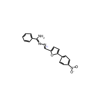 NC(=N/N=C/c1ccc(-c2ccc([N+](=O)[O-])cc2)o1)c1ccccc1